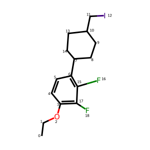 CCOc1ccc(C2CCC(CI)CC2)c(F)c1F